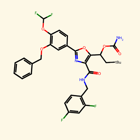 CC(C)(C)CC(OC(N)=O)c1oc(-c2ccc(OC(F)F)c(OCc3ccccc3)c2)nc1C(=O)NCc1ccc(F)cc1F